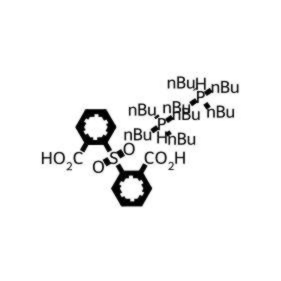 CCCC[PH](CCCC)(CCCC)CCCC.CCCC[PH](CCCC)(CCCC)CCCC.O=C(O)c1ccccc1S(=O)(=O)c1ccccc1C(=O)O